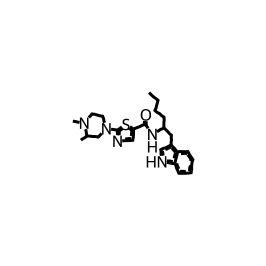 CCCCC(Cc1c[nH]c2ccccc12)NC(=O)c1cnc(N2CCN(C)C(C)C2)s1